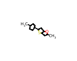 Cc1ccc(-c2cc3oc(C)cc3s2)cc1